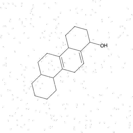 OC1CCCC2C1=CCC1=C2CCC2CCCCC12